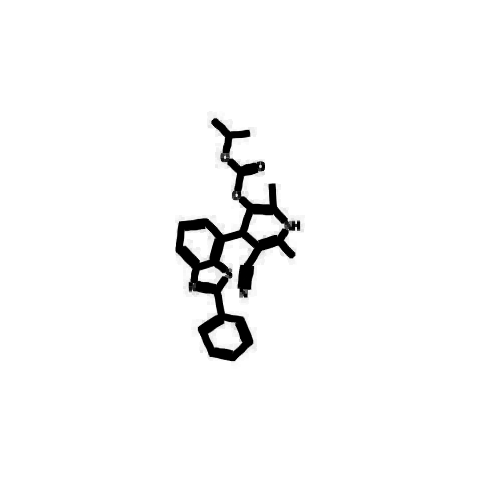 CC1=C(C#N)C(c2cccc3nc(-c4ccccc4)sc23)C(OC(=O)OC(C)C)=C(C)N1